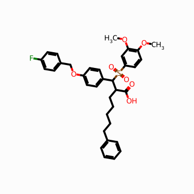 COc1ccc(S(=O)(=O)C(c2ccc(OCc3ccc(F)cc3)cc2)C(CCCCCc2ccccc2)C(=O)O)cc1OC